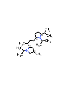 CC(CC[C@H]1CC[C@@H](C(C)C)N1C(C)C)[C@@H]1C[C@@H](C)CN1C(C)C